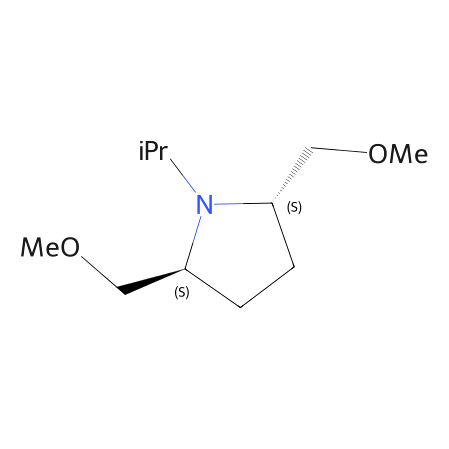 COC[C@@H]1CC[C@@H](COC)N1C(C)C